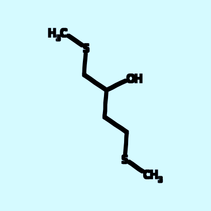 CSCCC(O)CSC